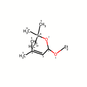 CCOC(C=C(C)C)O[Si](C)(C)C